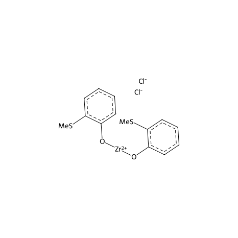 CSc1ccccc1[O][Zr+2][O]c1ccccc1SC.[Cl-].[Cl-]